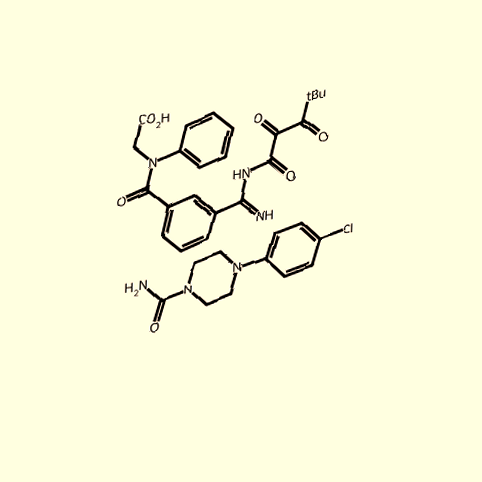 CC(C)(C)C(=O)C(=O)C(=O)NC(=N)c1cccc(C(=O)N(CC(=O)O)c2ccccc2)c1.NC(=O)N1CCN(c2ccc(Cl)cc2)CC1